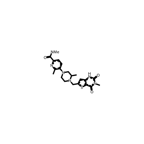 CNC(=O)c1ccc(N2CCN(Cc3cc4[nH]c(=O)n(C)c(=O)c4s3)C(C)C2)c(C)n1